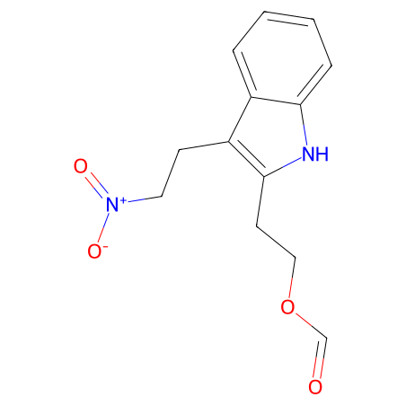 O=COCCc1[nH]c2ccccc2c1CC[N+](=O)[O-]